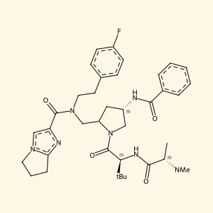 CN[C@@H](C)C(=O)N[C@H](C(=O)N1C[C@@H](NC(=O)c2ccccc2)CC1CN(CCc1ccc(F)cc1)C(=O)c1cn2c(n1)CCC2)C(C)(C)C